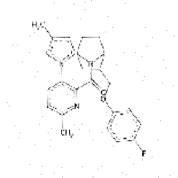 Cc1ccc(-n2ccc(C)n2)c(C(=O)N2C3CCC2C(COc2ccc(F)cn2)C3)n1